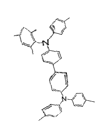 Cc1ccc(N(c2ccc(C)cc2)c2ccc(-c3ccc(N(c4ccc(C)cc4)c4c(C)cc(C)cc4C)cc3)cc2)cc1